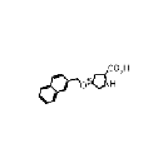 O=C(O)C1C[C@@H](OCc2ccc3ccccc3c2)CN1